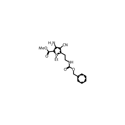 CCn1c(CCNC(=O)OCc2ccccc2)c(C#N)c(N)c1C(=O)OC